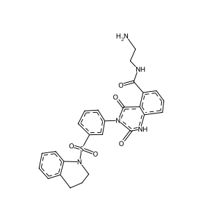 NCCNC(=O)c1cccc2[nH]c(=O)n(-c3cccc(S(=O)(=O)N4CCCc5ccccc54)c3)c(=O)c12